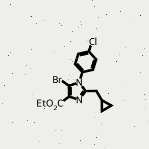 CCOC(=O)c1nc(CC2CC2)n(-c2ccc(Cl)cc2)c1Br